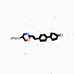 CCCCCC1CN=C(C=Cc2ccc(-c3ccc(CC)cc3)cc2)OC1